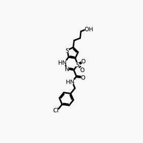 O=C(NCc1ccc(Cl)cc1)C1=NNc2sc(CCCO)cc2S1(=O)=O